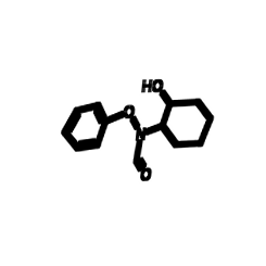 O=CN(Oc1ccccc1)C1CCCCC1O